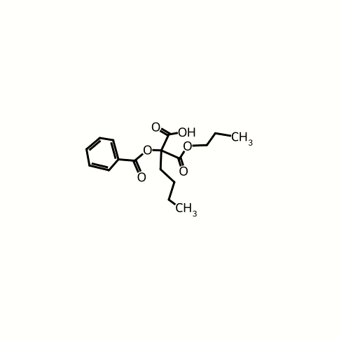 CCCCC(OC(=O)c1ccccc1)(C(=O)O)C(=O)OCCC